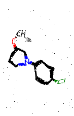 COC1CCN(c2ccc(Cl)cc2)C1